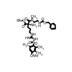 COc1cc(C)c(S(=O)(=O)NC(=N)NCCC[C@](N)(C(=O)OC(C)(C)C)C(=O)N(C)CCNC(=O)OCc2ccccc2)c(C)c1C